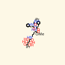 COC(=O)[C@H](CCCCNC(=O)C(O)C(O)C(O)C(O)C(=O)C(C)C)NC(=O)[C@H](Cc1ccccc1)NC(=O)[C@H](Cc1ccccc1)NC(=O)CNC(C)C